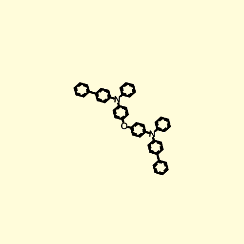 c1ccc(-c2ccc(N(c3ccccc3)c3ccc(Oc4ccc(N(c5ccccc5)c5ccc(-c6ccccc6)cc5)cc4)cc3)cc2)cc1